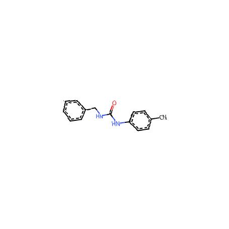 N#Cc1ccc(NC(=O)NCc2c[c]ccc2)cc1